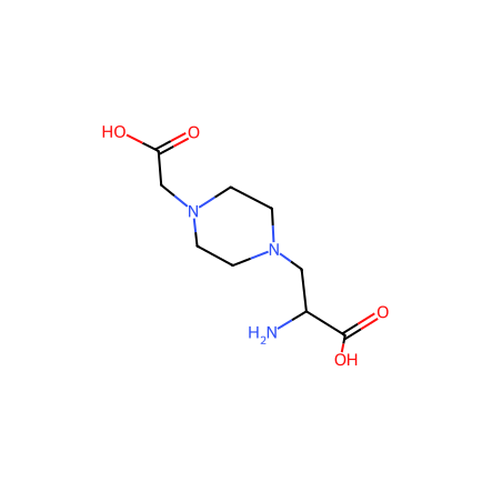 NC(CN1CCN(CC(=O)O)CC1)C(=O)O